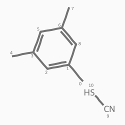 Cc1cc(C)cc(C)c1.N#CS